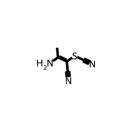 C/C(N)=C(/C#N)SC#N